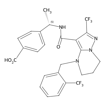 C[C@H](NC(=O)c1c(C(F)(F)F)nn2c1N(Cc1ccccc1C(F)(F)F)CCC2)c1ccc(C(=O)O)cc1